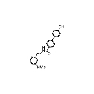 CNc1cccc(CCNC(=O)c2ccc(-c3ccc(O)cc3)cc2)c1